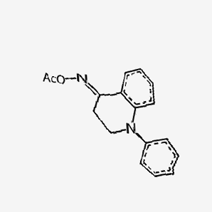 CC(=O)O/N=C1\CCN(c2ccccc2)c2ccccc21